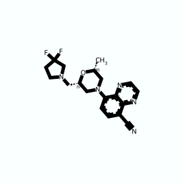 C[C@@H]1CN(c2ccc(C#N)c3nccnc23)C[C@H](CN2CCC(F)(F)C2)O1